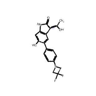 C/C(O)=C1\C(=O)Nc2cc(O)c(-c3ccc(N4CC(F)(F)C4)cc3)cc21